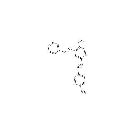 COc1ccc(/C=C/c2ccc([N+](=O)[O-])cc2)cc1OCc1ccccc1